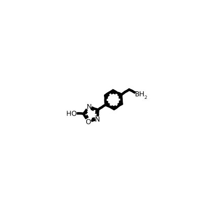 BCc1ccc(-c2noc(O)n2)cc1